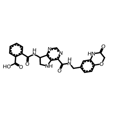 O=C1COc2ccc(CNC(=O)c3ncnc4c3NCC4NC(=O)c3ccccc3C(=O)O)cc2N1